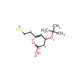 CC(C)(C)OC(C=CCCS)CC(=O)O